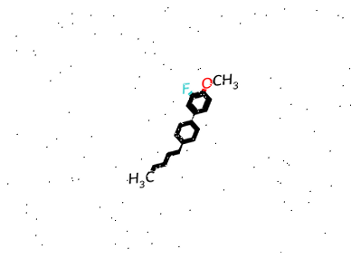 CCCCC[C@H]1CC[C@H](c2ccc(OC)c(F)c2)CC1